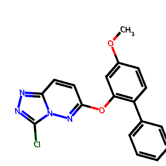 COc1ccc(-c2ccccc2)c(Oc2ccc3nnc(Cl)n3n2)c1